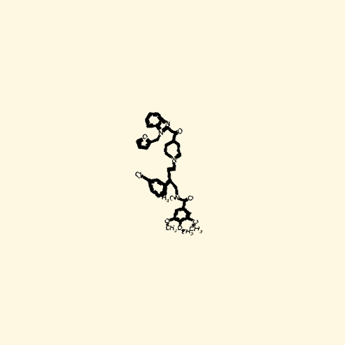 COc1cc(C(=O)N(C)CC(CCN2CCC(C(=O)c3nc4ccccc4n3Cc3ccco3)CC2)c2cccc(Cl)c2)cc(OC)c1OC